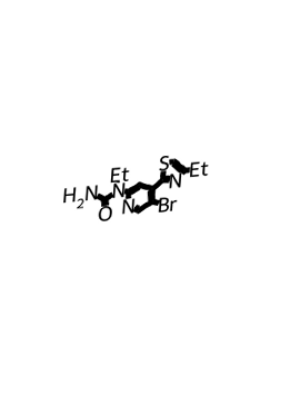 CCc1csc(-c2cc(N(CC)C(N)=O)ncc2Br)n1